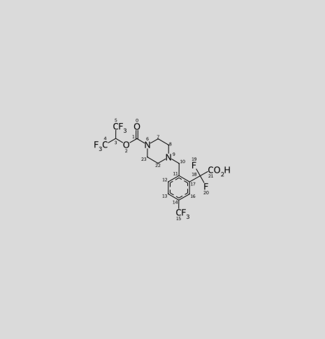 O=C(OC(C(F)(F)F)C(F)(F)F)N1CCN(Cc2ccc(C(F)(F)F)cc2C(F)(F)C(=O)O)CC1